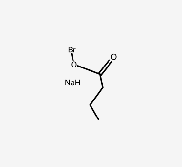 CCCC(=O)OBr.[NaH]